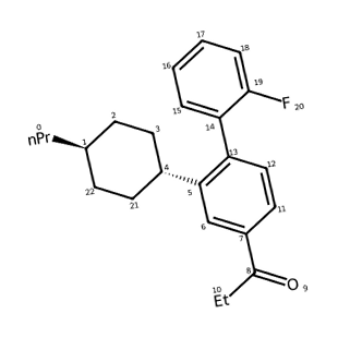 CCC[C@H]1CC[C@H](c2cc(C(=O)CC)ccc2-c2ccccc2F)CC1